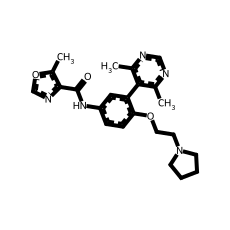 Cc1ncnc(C)c1-c1cc(NC(=O)c2ncoc2C)ccc1OCCN1CCCC1